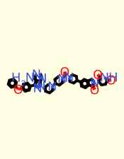 Nc1ncnc2c1c(-c1ccc(Oc3ccccc3)cc1)nn2C1CCCN(C2CCN(C(=O)N3CCC(c4ccc5c(c4)CN(C4CCC(=O)NC4=O)C5=O)CC3)CC2)C1